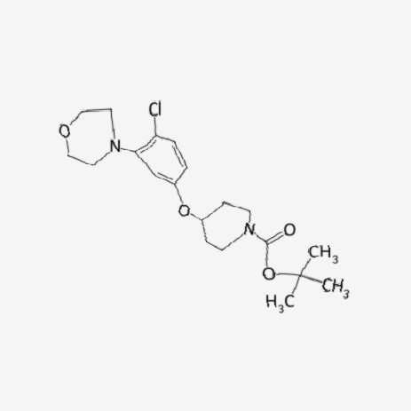 CC(C)(C)OC(=O)N1CCC(Oc2ccc(Cl)c(N3CCOCC3)c2)CC1